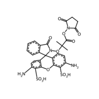 CC(C)(ON1C(=O)c2ccccc2C12c1ccc(N)c(S(=O)(=O)O)c1Oc1c2ccc(N)c1S(=O)(=O)O)C(=O)ON1C(=O)CCC1=O